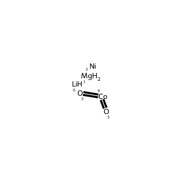 [LiH].[MgH2].[Ni].[O]=[Co]=[O]